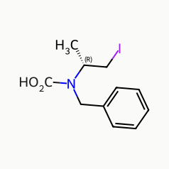 C[C@H](CI)N(Cc1ccccc1)C(=O)O